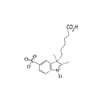 CC[N+]1=C(C)C(C)(CCCCCC(=O)O)c2cc(S(=O)(=O)[O-])ccc21